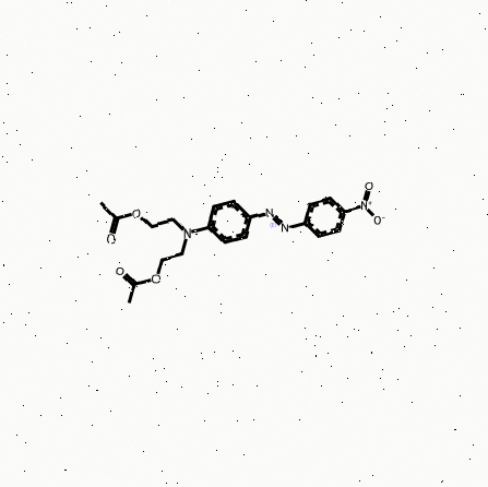 CC(=O)OCCN(CCOC(C)=O)c1ccc(/N=N/c2ccc([N+](=O)[O-])cc2)cc1